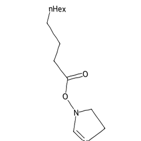 CCCCCCCCCC(=O)ON1C=NCC1